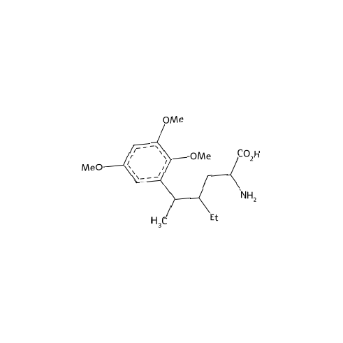 CCC(CC(N)C(=O)O)C(C)c1cc(OC)cc(OC)c1OC